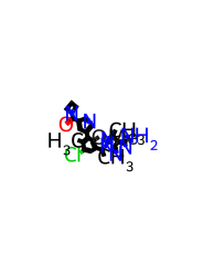 COc1c(C(C)n2nc(C)c3c(N)ncnc32)cc(Cl)c(C)c1-c1cncc(C(=O)N2CCC2)c1